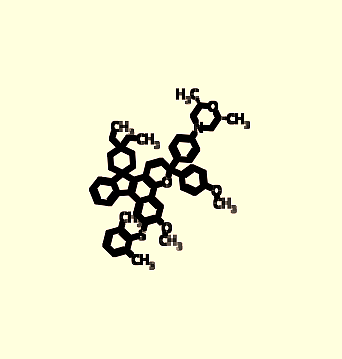 CCC1(CC)CCC2(CC1)c1ccccc1-c1c2c2c(c3cc(OC)c(Sc4c(C)cccc4C)cc13)OC(c1ccc(OC)cc1)(c1ccc(N3C[C@@H](C)O[C@@H](C)C3)cc1)C=C2